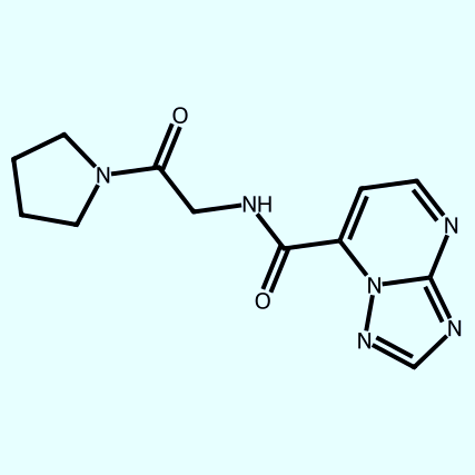 O=C(NCC(=O)N1CCCC1)c1ccnc2ncnn12